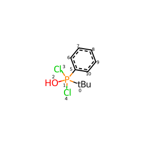 CC(C)(C)P(O)(Cl)(Cl)c1ccccc1